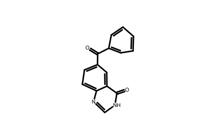 O=C(c1ccccc1)c1ccc2nc[nH]c(=O)c2c1